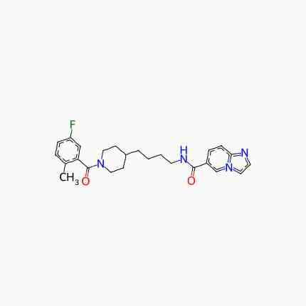 Cc1ccc(F)cc1C(=O)N1CCC(CCCCNC(=O)c2ccc3nccn3c2)CC1